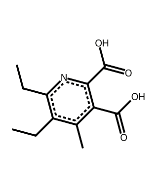 CCc1nc(C(=O)O)c(C(=O)O)c(C)c1CC